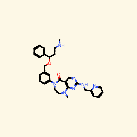 CNCCC(OCc1cccc(N2CCN(C)c3nc(NCc4ccccn4)ncc3C2=O)c1)c1ccccc1